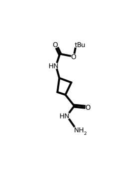 CC(C)(C)OC(=O)NC1CC(C(=O)NN)C1